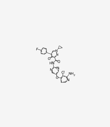 Nc1nccc(Oc2cnc(NC(=O)c3nn(C4CC4)cc(-c4ccc(F)cc4)c3=O)nc2)c1Cl